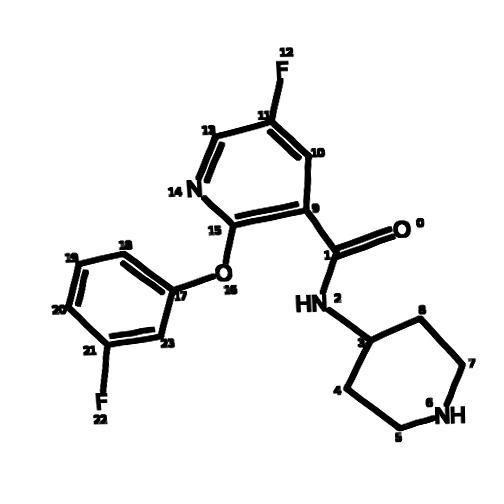 O=C(NC1CCNCC1)c1cc(F)cnc1Oc1cccc(F)c1